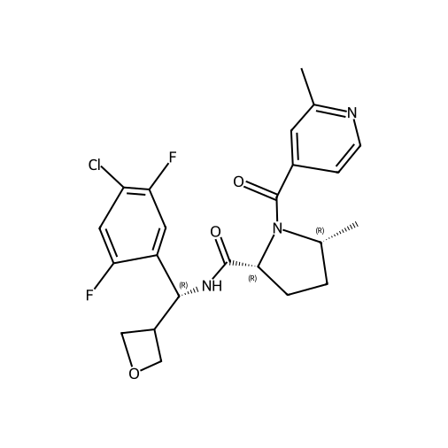 Cc1cc(C(=O)N2[C@H](C)CC[C@@H]2C(=O)N[C@@H](c2cc(F)c(Cl)cc2F)C2COC2)ccn1